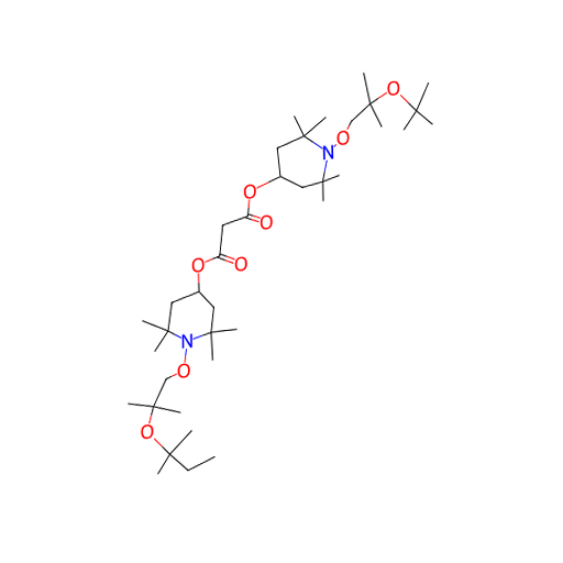 CCC(C)(C)OC(C)(C)CON1C(C)(C)CC(OC(=O)CC(=O)OC2CC(C)(C)N(OCC(C)(C)OC(C)(C)C)C(C)(C)C2)CC1(C)C